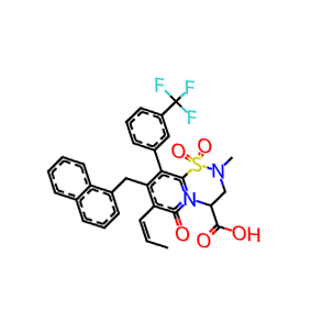 C/C=C\c1c(Cc2cccc3ccccc23)c(-c2cccc(C(F)(F)F)c2)c2n(c1=O)C(C(=O)O)CN(C)S2(=O)=O